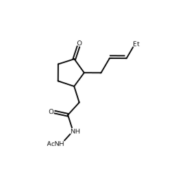 CC/C=C/CC1C(=O)CCC1CC(=O)NNC(C)=O